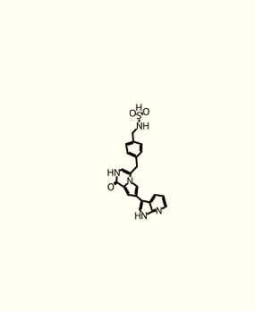 O=c1[nH]cc(Cc2ccc(CN[SH](=O)=O)cc2)n2cc(-c3c[nH]c4ncccc34)cc12